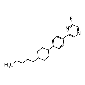 CCCCCC1CCC(c2ccc(-c3cncc(F)n3)cc2)CC1